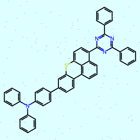 c1ccc(-c2nc(-c3ccccc3)nc(-c3ccc4c5c(cccc35)-c3ccc(-c5ccc(N(c6ccccc6)c6ccccc6)cc5)cc3S4)n2)cc1